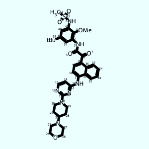 COc1c(NC(=O)C(=O)c2ccc(Nc3ccnc(N4CCC(N5CCOCC5)CC4)n3)c3ccccc23)cc(C(C)(C)C)cc1NS(C)(=O)=O